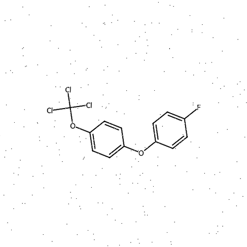 Fc1ccc(Oc2ccc(OC(Cl)(Cl)Cl)cc2)cc1